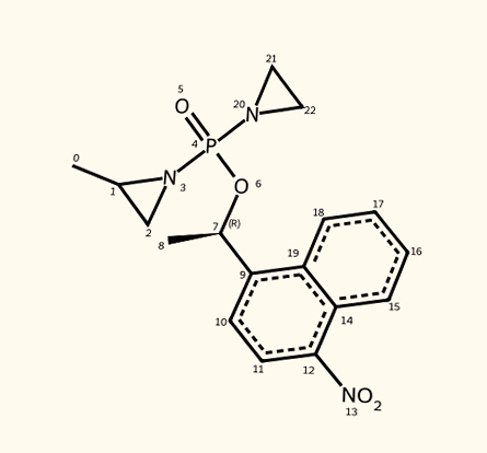 CC1CN1P(=O)(O[C@H](C)c1ccc([N+](=O)[O-])c2ccccc12)N1CC1